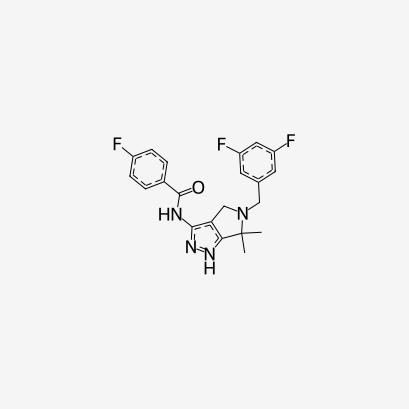 CC1(C)c2[nH]nc(NC(=O)c3ccc(F)cc3)c2CN1Cc1cc(F)cc(F)c1